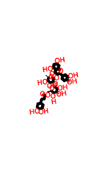 C[C@@H]1OC(Oc2c(-c3ccc(O)c(O)c3)oc3cc(O)cc(O)c3c2=O)[C@H](OC2O[C@H](COC(=O)/C=C/C3=CCC(O)(O)C=C3)[C@@H](O)[C@H](O)[C@H]2O)[C@H](O)[C@H]1O